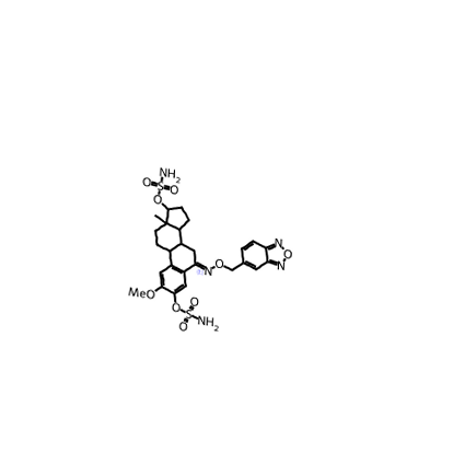 COc1cc2c(cc1OS(N)(=O)=O)/C(=N/OCc1ccc3nonc3c1)CC1C2CCC2(C)C(OS(N)(=O)=O)CCC12